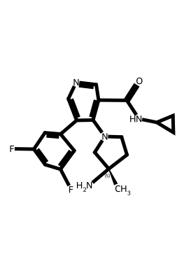 C[C@]1(N)CCN(c2c(C(=O)NC3CC3)cncc2-c2cc(F)cc(F)c2)C1